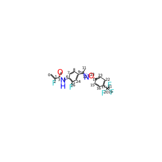 C=C(F)C(=O)Nc1ccc(/C(C)=N/Oc2ccc(C(F)(F)F)cc2)cc1F